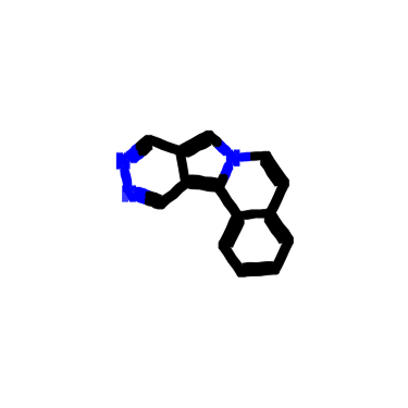 c1ccc2c(c1)ccn1cc3cnncc3c21